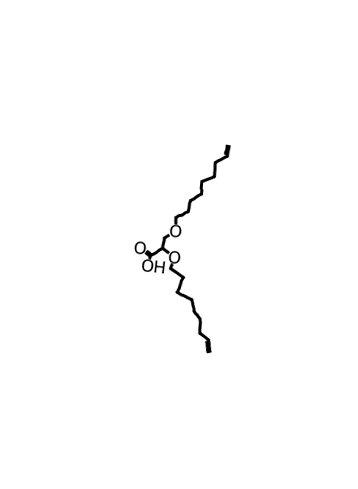 C=CCCCCCCCOCC(OCCCCCCCC=C)C(=O)O